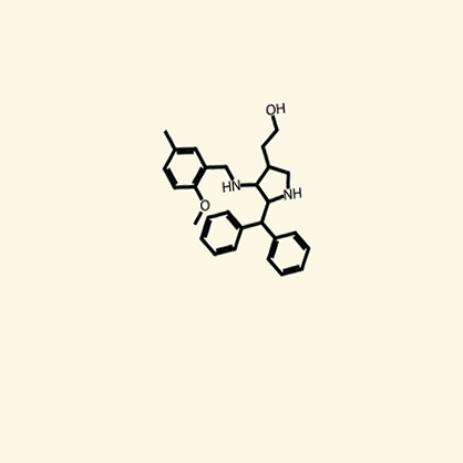 COc1ccc(C)cc1CNC1C(CCO)CNC1C(c1ccccc1)c1ccccc1